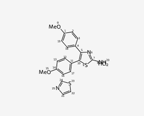 COc1ccc(-c2nc(N)sc2-c2ccc(OC)cc2)cc1.Cl.c1cscn1